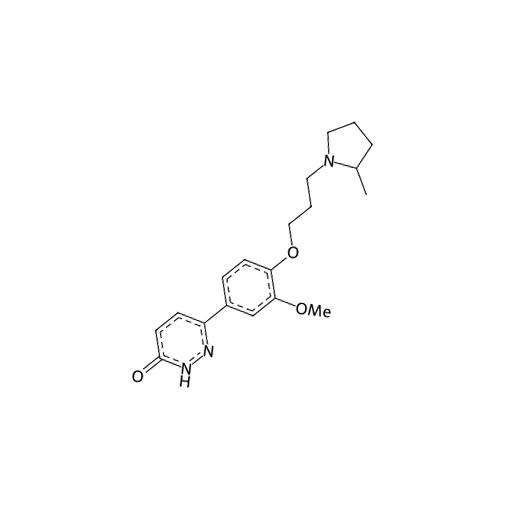 COc1cc(-c2ccc(=O)[nH]n2)ccc1OCCCN1CCCC1C